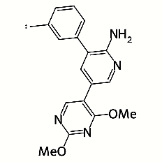 [CH]c1cccc(-c2cc(-c3cnc(OC)nc3OC)cnc2N)c1